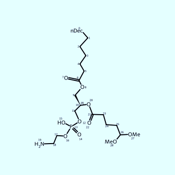 CCCCCCCCCCCCCCCC(=O)OC[C@H](COP(=O)(O)OCCN)OC(=O)CCCC(OC)OC